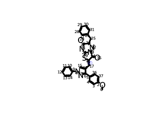 COc1ccc(-c2nn(-c3ccccc3)cc2/C=c2\sc3nc(=O)c(Cc4ccccc4)nn3c2=O)cc1